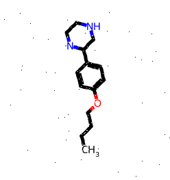 CCCCOc1ccc(C2CNCC[N]2)cc1